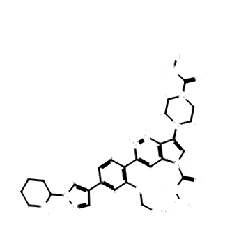 COCOc1cc(-c2cnn(C3CCCCO3)c2)ccc1-c1cc2c(nn1)c(N1CCN(C(=O)OC(C)(C)C)CC1)cn2C(=O)OC(C)(C)C